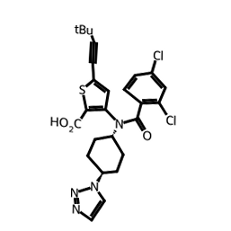 CC(C)(C)C#Cc1cc(N(C(=O)c2ccc(Cl)cc2Cl)[C@H]2CC[C@H](n3ccnn3)CC2)c(C(=O)O)s1